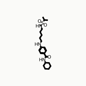 CC(C)S(=O)(=O)NCCCCCNc1ccc(C(=O)NC2CCCCC2)cc1